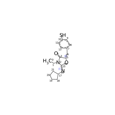 CCN1C(=O)/C(=C\c2ccc(S)cc2)O/C1=N/C1CCCC1